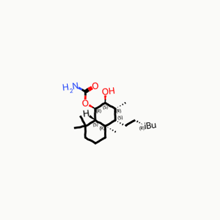 CC[C@@H](C)CC[C@H]1[C@@H](C)[C@H](O)[C@H](OC(N)=O)[C@H]2C(C)(C)CCC[C@]12C